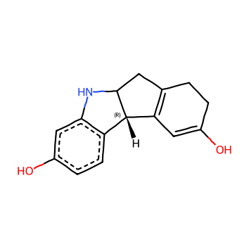 OC1=CC2=C(CC1)CC1Nc3cc(O)ccc3[C@@H]21